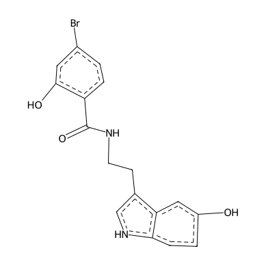 O=C(NCCc1c[nH]c2ccc(O)cc12)c1ccc(Br)cc1O